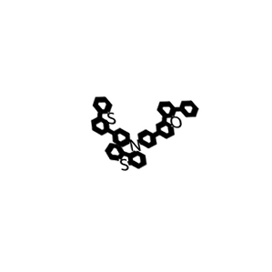 c1ccc(-c2cccc3c2oc2ccc(-c4ccc(N(c5ccc(-c6cccc7c6sc6ccccc67)cc5)c5cccc6sc7ccccc7c56)cc4)cc23)cc1